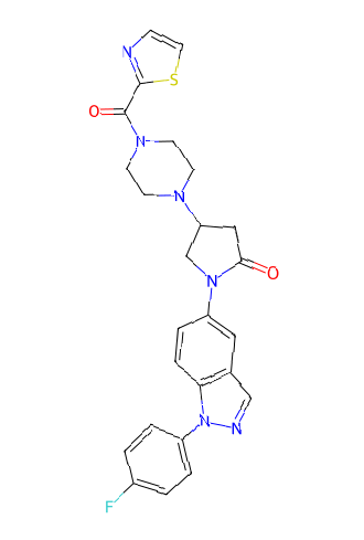 O=C(c1nccs1)N1CCN(C2CC(=O)N(c3ccc4c(cnn4-c4ccc(F)cc4)c3)C2)CC1